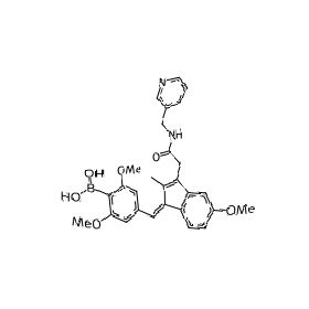 COc1ccc2c(c1)C(CC(=O)NCc1cccnc1)=C(C)C2=Cc1cc(OC)c(B(O)O)c(OC)c1